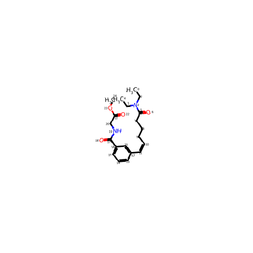 CCN(CC)C(=O)CCC/C=C\c1cccc(C(=O)NCC(=O)OC)c1